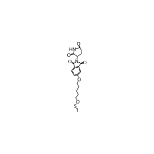 O=C1CCC(N2C(=O)c3ccc(OCCCCCOSI)cc3C2=O)C(=O)N1